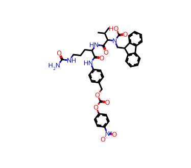 CC(C)C(C(=O)NC(CCCNC(N)=O)C(=O)Nc1ccc(COC(=O)Oc2ccc([N+](=O)[O-])cc2)cc1)N(CC1c2ccccc2-c2ccccc21)C(=O)O